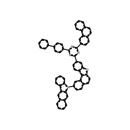 c1ccc(-c2ccc(-c3nc(-c4ccc5c(c4)oc4ccc6ccc(-n7c8ccccc8c8cc9ccccc9cc87)cc6c45)nc(-c4ccc5ccc6ccccc6c5c4)n3)cc2)cc1